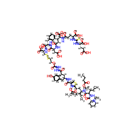 CCCC(=O)OCN(C(=O)[C@@H](NC(=O)[C@H]1CCCCN1C)C(C)CC)[C@H](C[C@@H](OC(C)=O)c1nc(C(=O)N[C@H](CCC(=O)NNC(=O)OCCSSC[C@H](NC(=O)[C@H](Cc2ccccc2)NC(=O)[C@H](CC(=O)O)NC(=O)CC[C@H](NC(=O)CC[C@H](NC(=S)N[C@@H](CCC(=O)O)C(=O)O)C(=O)O)C(=O)O)C(=O)O)Cc2ccc(O)cc2)cs1)C(C)C